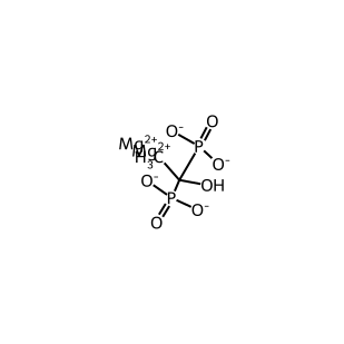 CC(O)(P(=O)([O-])[O-])P(=O)([O-])[O-].[Mg+2].[Mg+2]